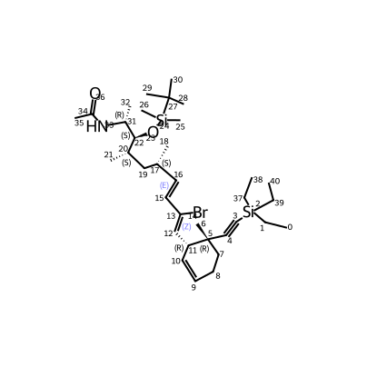 CC[Si](C#C[C@]1(C)CCC=C[C@@H]1/C=C(Br)/C=C/[C@@H](C)C[C@H](C)[C@H](O[Si](C)(C)C(C)(C)C)[C@@H](C)NC(C)=O)(CC)CC